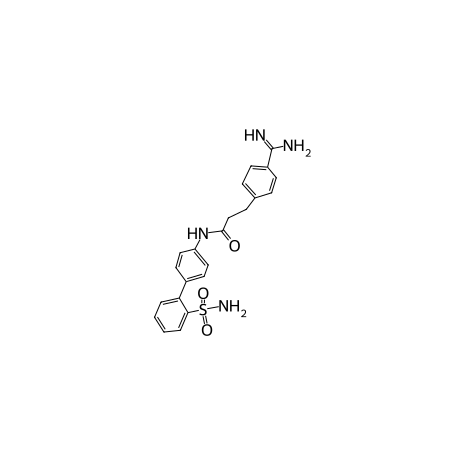 N=C(N)c1ccc(CCC(=O)Nc2ccc(-c3ccccc3S(N)(=O)=O)cc2)cc1